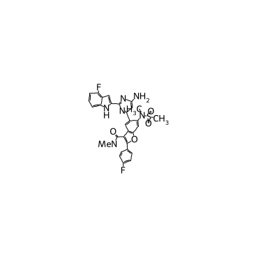 CNC(=O)c1c(-c2ccc(F)cc2)oc2cc(N(C)S(C)(=O)=O)c(-c3cc(N)nc(-c4cc5c(F)cccc5[nH]4)n3)cc12